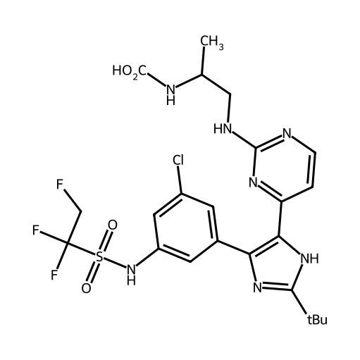 CC(CNc1nccc(-c2[nH]c(C(C)(C)C)nc2-c2cc(Cl)cc(NS(=O)(=O)C(F)(F)CF)c2)n1)NC(=O)O